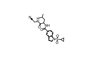 CC(C)CC(NC(=O)c1ccc2c(ccn2S(=O)(=O)C2CC2)c1)C(=O)NCC#N